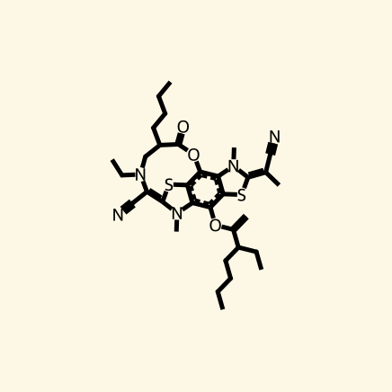 C=C(Oc1c2c(c3c4c1N(C)/C(=C(\C#N)N(CC)CC(CCCC)C(=O)O3)S4)N(C)/C(=C(/C)C#N)S2)C(CC)CCCC